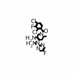 CC1CC(N(N)c2ncc(F)cn2)=C(N)CN1C(=O)c1ccc(Cl)c(F)c1Cl